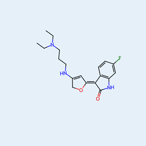 CCN(CC)CCCNC1=C/C(=C2/C(=O)Nc3cc(F)ccc32)OC1